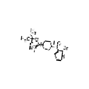 CC(C)(C)OC(=O)N1CCC(C(O)c2cccnc2Br)CC1